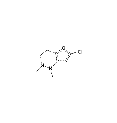 CN1CCc2oc(Cl)cc2N1C